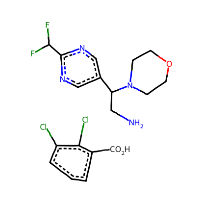 NCC(c1cnc(C(F)F)nc1)N1CCOCC1.O=C(O)c1cccc(Cl)c1Cl